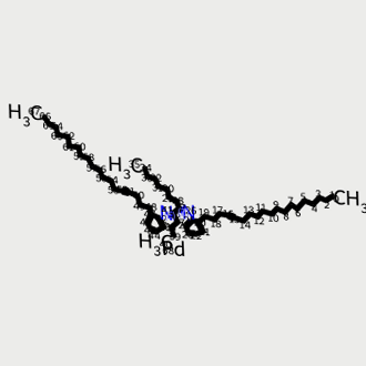 CCCCCCCCCCCCCCCC#CCCCc1ccccc1/N=C(CCCCCCCC)\C(CCCC)=N\c1ccccc1CCCC#CCCCCCCCCCCCCCCC.[Pd]